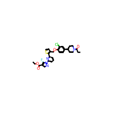 CCOC(=O)c1cnn(-c2cccc(-c3sccc3COc3ccc(C4CCN(C(=O)CC)CC4)cc3Cl)n2)c1F